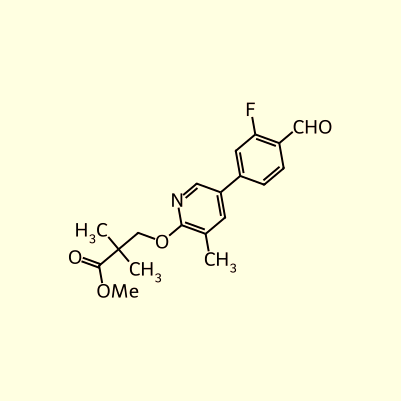 COC(=O)C(C)(C)COc1ncc(-c2ccc(C=O)c(F)c2)cc1C